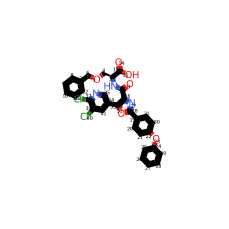 O=C(N[C@@H](COCc1ccccc1)C(=O)O)c1nc(-c2ccc(Oc3ccccc3)cc2)oc1-c1cnc(Cl)c(Cl)c1